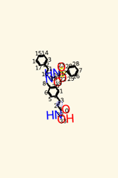 O=C(/C=C/c1ccc(CN(CCc2ccccc2)C(=O)NS(=O)(=O)c2ccccc2)cc1)NO